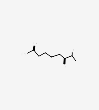 CC(C)C(=O)CCCCC(=O)C(C)O